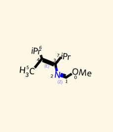 CO/C=N\C(=C(/C)C(C)C)C(C)C